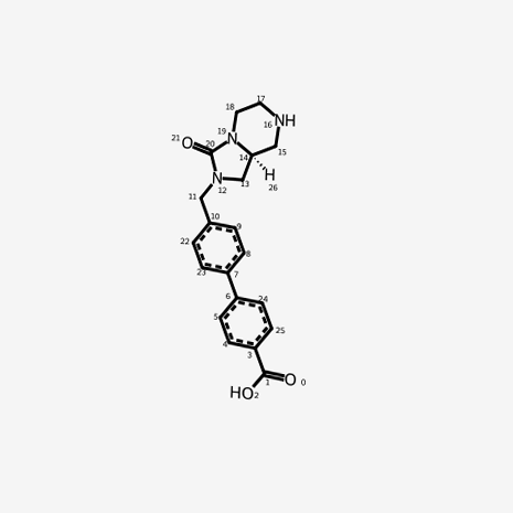 O=C(O)c1ccc(-c2ccc(CN3C[C@@H]4CNCCN4C3=O)cc2)cc1